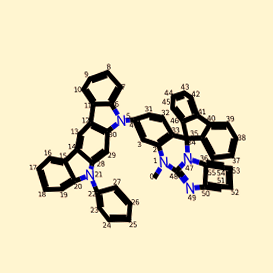 CN1c2cc(-n3c4ccccc4c4cc5c6ccccc6n(-c6ccccc6)c5cc43)ccc2C2(c3ccccc3-c3ccccc32)n2c1nc1ccccc12